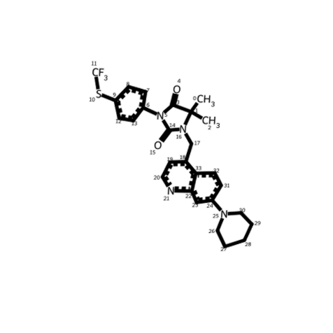 CC1(C)C(=O)N(c2ccc(SC(F)(F)F)cc2)C(=O)N1Cc1ccnc2cc(N3CCCCC3)ccc12